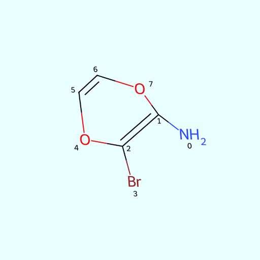 NC1=C(Br)OC=CO1